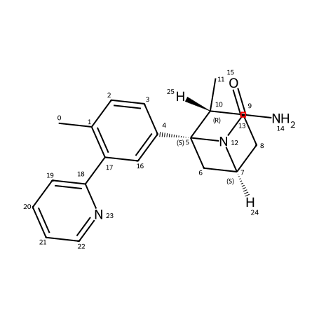 Cc1ccc([C@]23C[C@H](CC[C@H]2C)N3C(N)=O)cc1-c1ccccn1